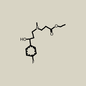 CCOC(=O)CCN(C)CCC(O)c1ccc(F)cc1